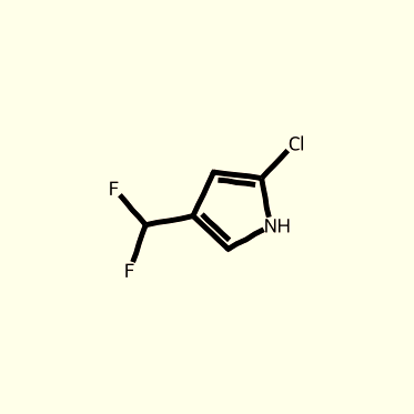 FC(F)c1c[nH]c(Cl)c1